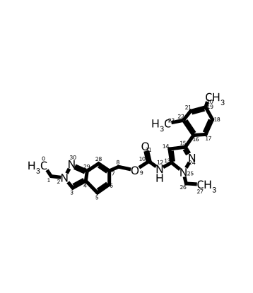 CCn1cc2ccc(COC(=O)Nc3cc(-c4ccc(C)cc4C)nn3CC)cc2n1